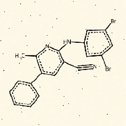 Cc1nc(Nc2cc(Br)cc(Br)c2)c(C#N)cc1-c1ccccc1